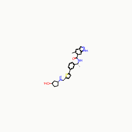 Cc1cc2cn[nH]c2cc1C(=O)N[C@H](C)c1cccc(-c2ccc(CNC3CC[C@@H](O)C3)s2)c1